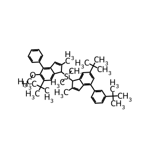 COc1c(C(C)(C)C)cc2c(c1-c1ccccc1)C=C(C)C2[Si](C)(C)C1C(C)=Cc2c(-c3cccc(C(C)(C)C)c3)cc(C(C)(C)C)cc21